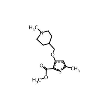 COC(=O)c1sc(C)cc1OCC1CCN(C)CC1